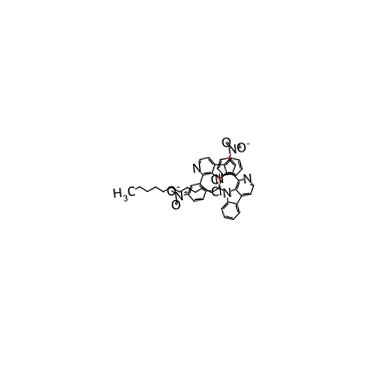 CCCCCCCCCCCC(n1c2ccccc2c2ccnc(-c3cc([N+](=O)[O-])ccc3Cl)c21)n1c2ccccc2c2ccnc(-c3cc([N+](=O)[O-])ccc3Cl)c21